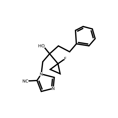 N#Cc1cncn1CC(O)(CCc1ccccc1)C1(F)CC1